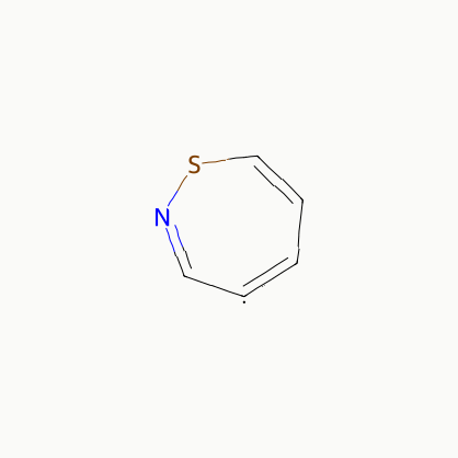 [C]1=CC=CSN=C1